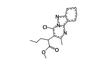 CCCC(C(=O)OC)c1c(C)nc2c3ccccc3nn2c1Cl